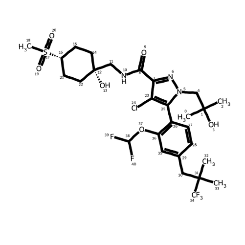 CC(C)(O)Cn1nc(C(=O)NC[C@]2(O)CC[C@@H](S(C)(=O)=O)CC2)c(Cl)c1-c1ccc(CC(C)(C)C(F)(F)F)cc1OC(F)F